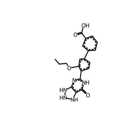 CCCOc1cc(-c2cccc(C(=O)O)c2)ccc1-c1nc2c(c(=O)[nH]1)NNN2